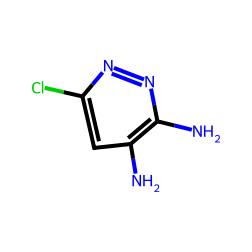 Nc1cc(Cl)nnc1N